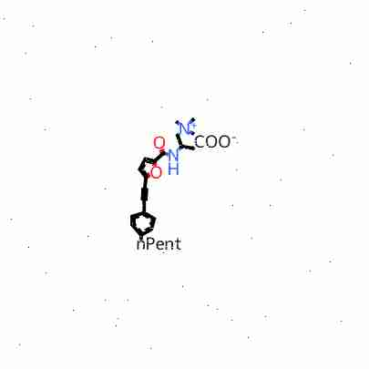 CCCCCc1ccc(C#Cc2ccc(C(=O)NC(CC(=O)[O-])C[N+](C)(C)C)o2)cc1